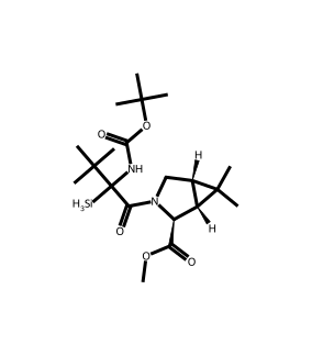 COC(=O)[C@@H]1[C@@H]2[C@H](CN1C(=O)C([SiH3])(NC(=O)OC(C)(C)C)C(C)(C)C)C2(C)C